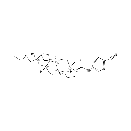 CCOC[C@@]1(O)CC[C@@]2(CC)[C@H](CC[C@H]3[C@@H]4CC[C@H](C(=O)Nc5cnc(C#N)cn5)[C@@]4(C)CC[C@@H]32)C1